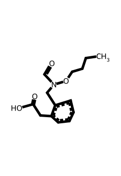 CCCCON(C=O)Cc1ccccc1CC(=O)O